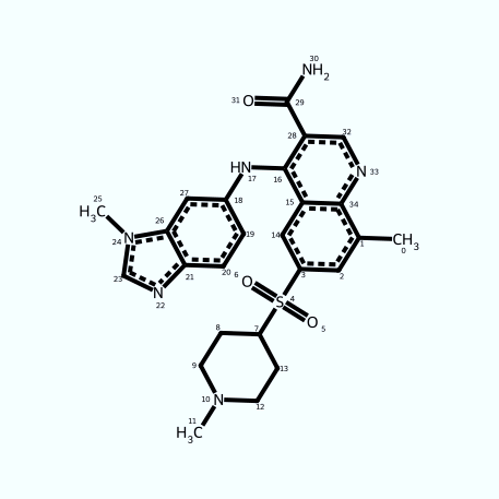 Cc1cc(S(=O)(=O)C2CCN(C)CC2)cc2c(Nc3ccc4ncn(C)c4c3)c(C(N)=O)cnc12